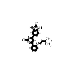 CC(C)CCOc1ccccc1-c1cc(-c2ccc3[nH]c(=O)[nH]c3c2)nc(Cl)n1